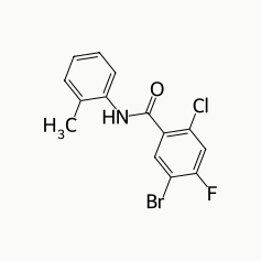 Cc1ccccc1NC(=O)c1cc(Br)c(F)cc1Cl